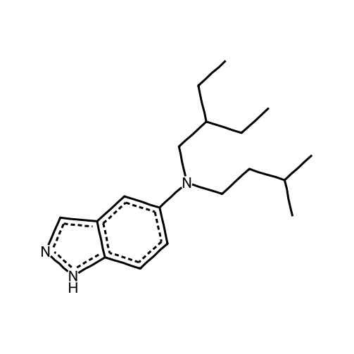 CCC(CC)CN(CCC(C)C)c1ccc2[nH]ncc2c1